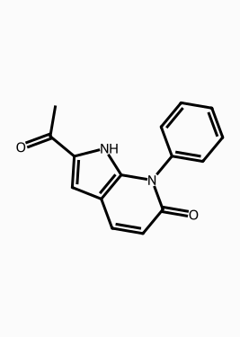 CC(=O)c1cc2ccc(=O)n(-c3ccccc3)c2[nH]1